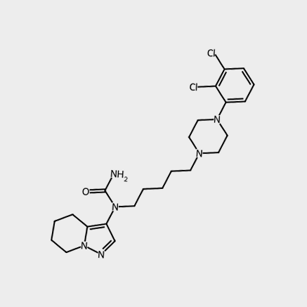 NC(=O)N(CCCCCN1CCN(c2cccc(Cl)c2Cl)CC1)c1cnn2c1CCCC2